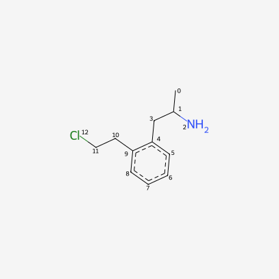 CC(N)Cc1ccccc1CCCl